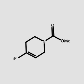 COC(=O)N1CC=C(C(C)C)CC1